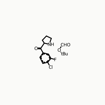 CC(C)(C)OC=O.O=C(c1ccc(Cl)c(F)c1)C1CCCN1